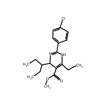 CCC1=C(C(=O)OC)C(C(CC)CC)N=C(c2ccc(Cl)cc2)N1